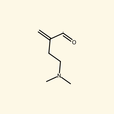 C=C([C]=O)CCN(C)C